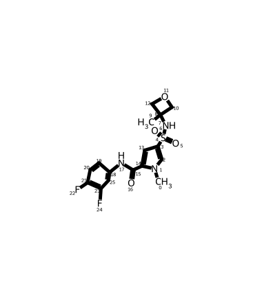 Cn1cc(S(=O)(=O)NC2(C)COC2)cc1C(=O)Nc1ccc(F)c(F)c1